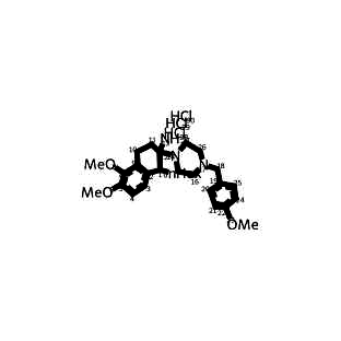 CCCCCCC1c2ccc(OC)c(OC)c2CCC1(N)N1CCN(Cc2ccc(OC)cc2)CC1.Cl.Cl.Cl